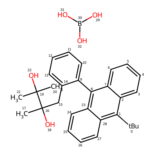 CC(C)(C)c1c2ccccc2c(-c2ccccc2CC(C)(O)C(C)(C)O)c2ccccc12.OB(O)O